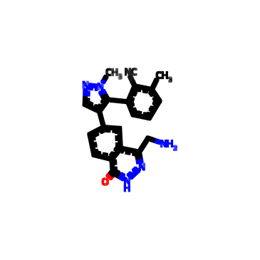 Cc1cccc(-c2c(-c3ccc4c(=O)[nH]nc(CN)c4c3)cnn2C)c1C#N